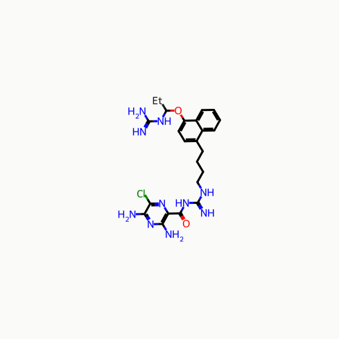 CCC(NC(=N)N)Oc1ccc(CCCCNC(=N)NC(=O)c2nc(Cl)c(N)nc2N)c2ccccc12